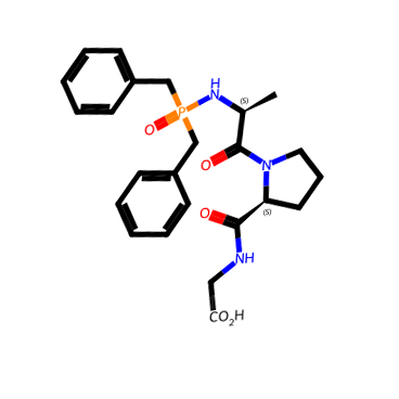 C[C@H](NP(=O)(Cc1ccccc1)Cc1ccccc1)C(=O)N1CCC[C@H]1C(=O)NCC(=O)O